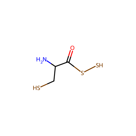 NC(CS)C(=O)SS